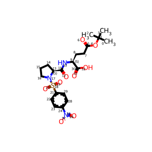 CC(C)(C)OC(=O)CC[C@H](NC(=O)[C@@H]1CCCN1S(=O)(=O)c1ccc([N+](=O)[O-])cc1)C(=O)O